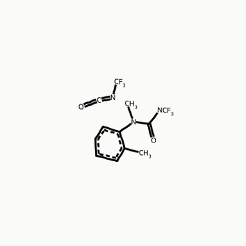 Cc1ccccc1N(C)C(=O)NC(F)(F)F.O=C=NC(F)(F)F